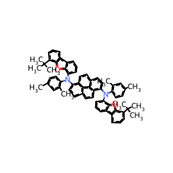 Cc1ccc(N(c2ccc3ccc4c(N(c5ccc(C)cc5C)c5cccc6c5oc5c(C(C)(C)C)cccc56)ccc5ccc2c3c54)c2cccc3c2oc2c(C(C)(C)C)cccc23)c(C)c1